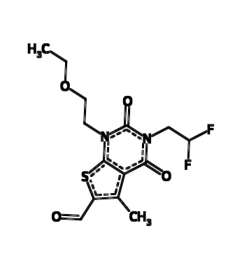 CCOCCn1c(=O)n(CC(F)F)c(=O)c2c(C)c(C=O)sc21